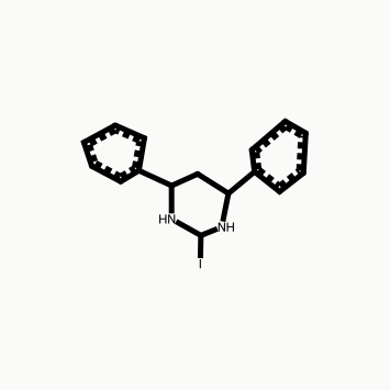 IC1NC(c2ccccc2)CC(c2ccccc2)N1